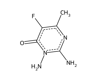 Cc1nc(N)n(N)c(=O)c1F